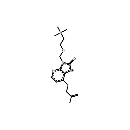 C=C(C)COc1ccnc2c1[nH]c(=O)n2COCC[Si](C)(C)C